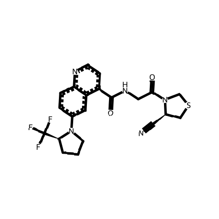 N#C[C@@H]1CSCN1C(=O)CNC(=O)c1ccnc2ccc(N3CCC[C@H]3C(F)(F)F)cc12